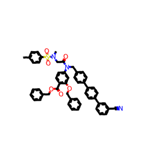 Cc1ccc(S(=O)(=O)N(C)CC(=O)N(Cc2ccc(-c3ccc(-c4cccc(C#N)c4)cc3)cc2)c2ccc(C(=O)OCc3ccccc3)c(OCc3ccccc3)c2)cc1